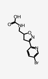 O=C(O)NCC1CC(c2ccc(Br)cn2)=NO1